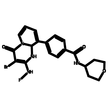 O=C(NC1CCOCC1)c1ccc(C2=CC=CN3C(=O)C(Br)=C(NF)NC23)cc1